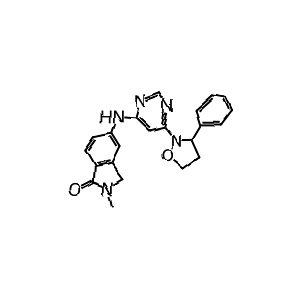 CN1Cc2cc(Nc3cc(N4OCCC4c4ccccc4)ncn3)ccc2C1=O